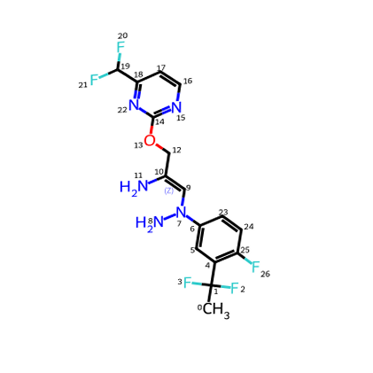 CC(F)(F)c1cc(N(N)/C=C(\N)COc2nccc(C(F)F)n2)ccc1F